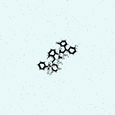 COC(=O)N(C(=O)[C@@H](N)C(c1cccc(F)c1)c1cccc(F)c1)c1cccc(F)c1CC[C@H]1CNC[C@H](C)N1S(=O)(=O)c1ccccc1